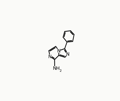 Nc1nccn2c(-c3ccccc3)ncc12